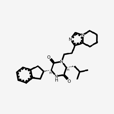 CC(C)C[C@@H]1C(=O)N[C@H](C2Cc3ccccc3C2)C(=O)N1CCc1ncn2c1CCCC2